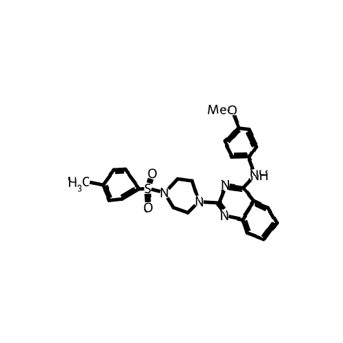 COc1ccc(Nc2nc(N3CCN(S(=O)(=O)c4ccc(C)cc4)CC3)nc3ccccc23)cc1